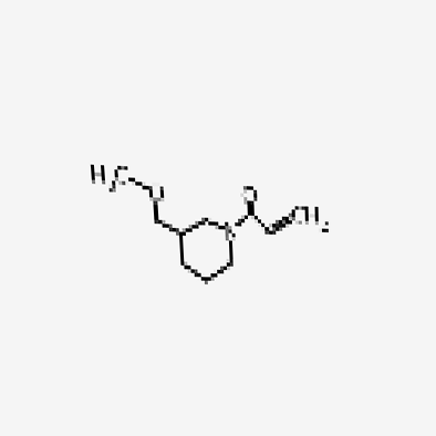 C=CC(=O)N1CCCC(COC)C1